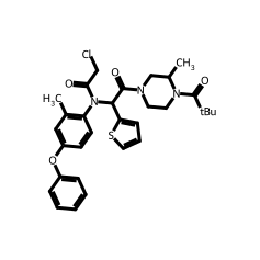 Cc1cc(Oc2ccccc2)ccc1N(C(=O)CCl)C(C(=O)N1CCN(C(=O)C(C)(C)C)C(C)C1)c1cccs1